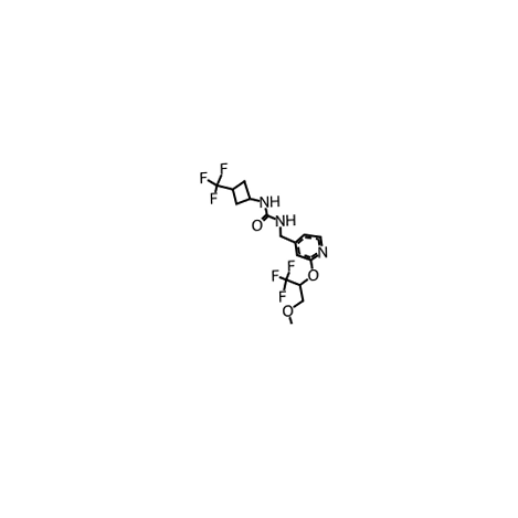 COCC(Oc1cc(CNC(=O)NC2CC(C(F)(F)F)C2)ccn1)C(F)(F)F